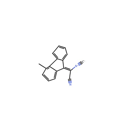 [C-]#[N+]/C(C#N)=C1\c2ccccc2-c2c(C)cccc21